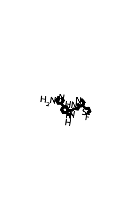 Nc1cncc(-c2ccc3[nH]nc(-c4cc5c(-c6ccc(F)s6)ccnc5[nH]4)c3c2)c1